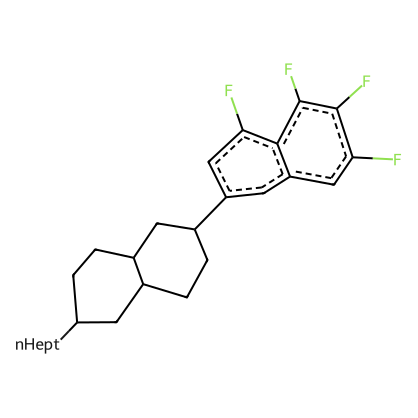 CCCCCCCC1CCC2CC(c3cc(F)c4c(F)c(F)c(F)cc4c3)CCC2C1